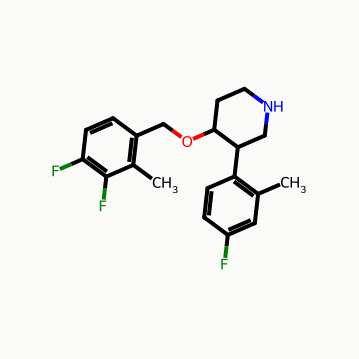 Cc1cc(F)ccc1C1CNCCC1OCc1ccc(F)c(F)c1C